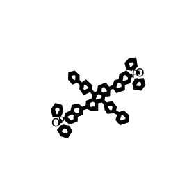 O=P(c1ccccc1)(c1ccccc1)c1ccc2cc(-c3ccc4c(-c5ccc(-c6ccccc6)cc5)c5cc(-c6ccc7cc(P(=O)(c8ccccc8)c8ccccc8)ccc7c6)ccc5c(-c5ccc(-c6ccccc6)cc5)c4c3)ccc2c1